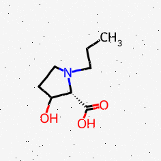 CCCN1CCC(O)[C@H]1C(=O)O